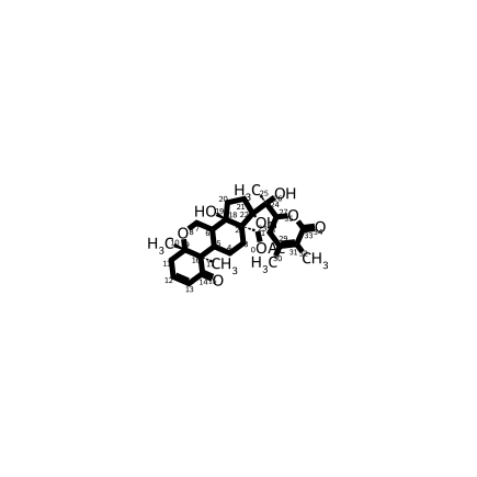 CC(=O)OC[C@]12CCC3C(CO[C@@]4(C)CC=CC(=O)[C@]34C)[C@]1(O)CC[C@@]2(O)[C@@](C)(O)C1CC(C)=C(C)C(=O)O1